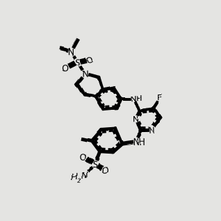 Cc1ccc(Nc2ncc(F)c(Nc3ccc4c(c3)CN(S(=O)(=O)N(C)C)CC4)n2)cc1S(N)(=O)=O